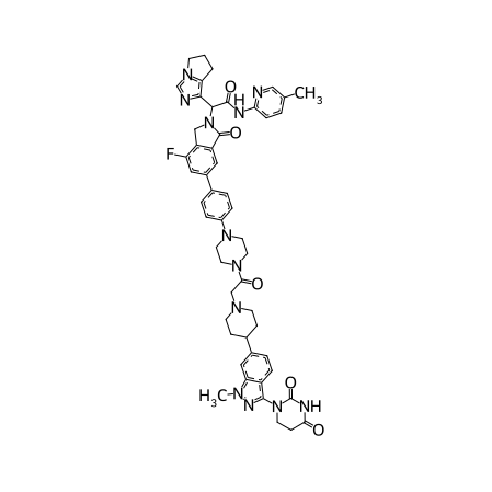 Cc1ccc(NC(=O)C(c2ncn3c2CCC3)N2Cc3c(F)cc(-c4ccc(N5CCN(C(=O)CN6CCC(c7ccc8c(N9CCC(=O)NC9=O)nn(C)c8c7)CC6)CC5)cc4)cc3C2=O)nc1